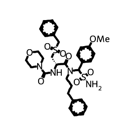 COc1ccc(C(N(CCCc2ccccc2)C(=O)[C@@H](CS(=O)(=O)Cc2ccccc2)NC(=O)N2CCOCC2)S(N)(=O)=O)cc1